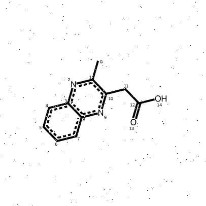 Cc1nc2ccccc2nc1CC(=O)O